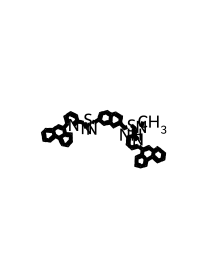 C/N=C(\SC(=N)c1ccc2ccc(-c3nnc(-c4cccc(-c5cc6ccccc6c6ccccc56)n4)s3)cc2c1)c1cccc(-c2cc3ccccc3c3ccccc23)n1